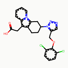 O=C(O)Cc1c2c(n3ccccc13)CC(n1nncc1COc1c(Cl)cccc1Cl)CC2